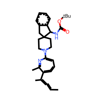 CC=C=C(C)C1=C=CC=C(N2CCC3(CC2)Cc2ccccc2C3NC(=O)OC(C)(C)C)N=C1C